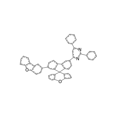 c1ccc(-c2cc(-c3ccc4c(c3)-c3ccc(-c5ccc6oc7ccccc7c6c5)cc3C43c4ccccc4Oc4ccccc43)nc(-c3ccccc3)n2)cc1